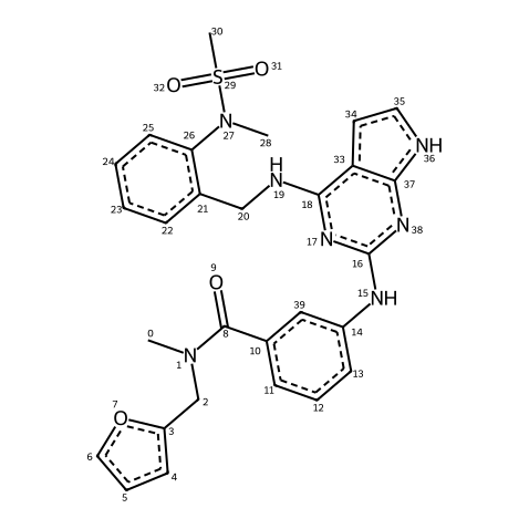 CN(Cc1ccco1)C(=O)c1cccc(Nc2nc(NCc3ccccc3N(C)S(C)(=O)=O)c3cc[nH]c3n2)c1